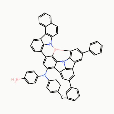 Bc1ccc(N(C2=CC=C(C)CC2)c2cc3c4c5c2c2cc(-c6ccccc6)cc6c7cc(-c8ccccc8)cc(c7n5c62)B4n2c4ccc5ccccc5c4c4cccc-3c42)cc1